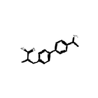 CC(Cc1ccc(-c2ccc(C(C)N)cc2)cc1)C(=O)O